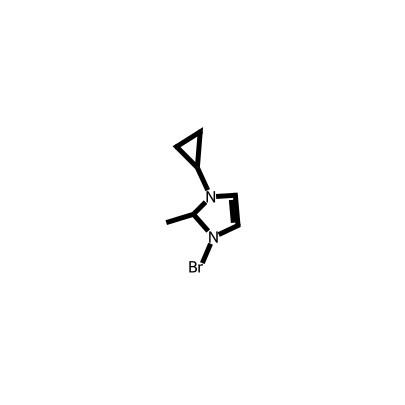 CC1N(Br)C=CN1C1CC1